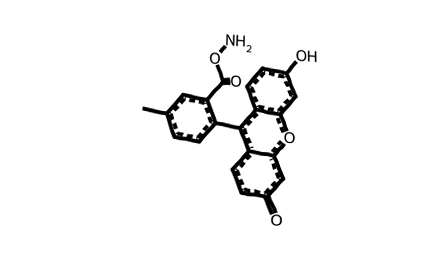 Cc1ccc(-c2c3ccc(=O)cc-3oc3cc(O)ccc23)c(C(=O)ON)c1